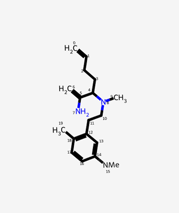 C=CCCC(C(=C)N)N(C)CCc1cc(NC)ccc1C